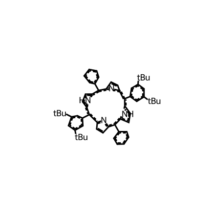 CC(C)(C)c1cc(-c2c3nc(c(-c4ccccc4)c4ccc([nH]4)c(-c4cc(C(C)(C)C)cc(C(C)(C)C)c4)c4nc(c(-c5ccccc5)c5ccc2[nH]5)C=C4)C=C3)cc(C(C)(C)C)c1